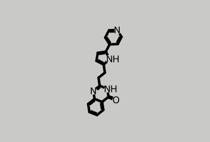 O=c1[nH]c(CCc2ccc(-c3ccncc3)[nH]2)nc2ccccc12